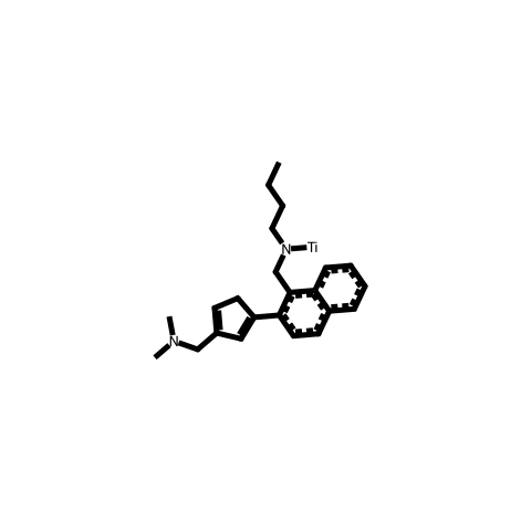 CCCC[N]([Ti])Cc1c(C2=CC(CN(C)C)=CC2)ccc2ccccc12